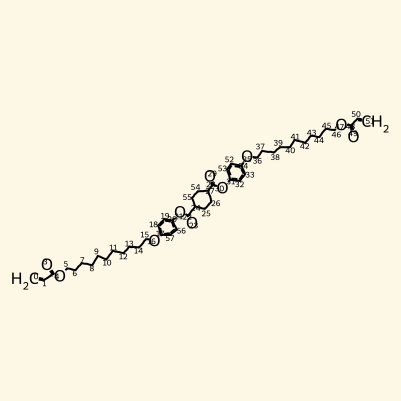 C=CC(=O)OCCCCCCCCCCCOc1ccc(OC(=O)C2CCC(C(=O)Oc3ccc(OCCCCCCCCCCCOC(=O)C=C)cc3)CC2)cc1